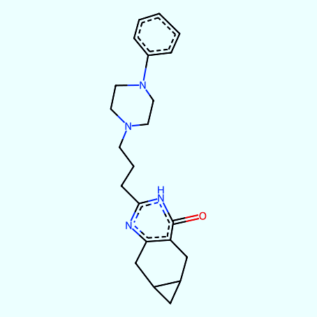 O=c1[nH]c(CCCN2CCN(c3ccccc3)CC2)nc2c1CC1CC1C2